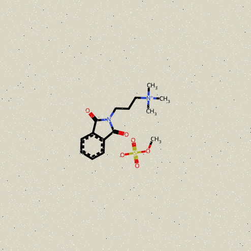 COS(=O)(=O)[O-].C[N+](C)(C)CCCN1C(=O)c2ccccc2C1=O